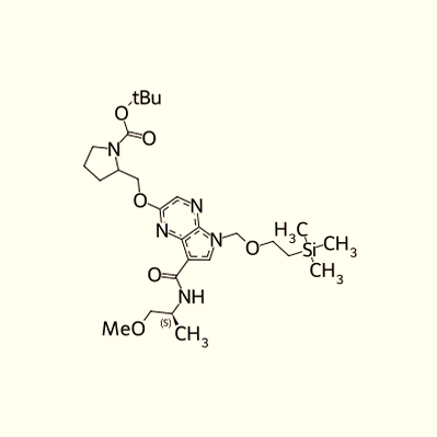 COC[C@H](C)NC(=O)c1cn(COCC[Si](C)(C)C)c2ncc(OCC3CCCN3C(=O)OC(C)(C)C)nc12